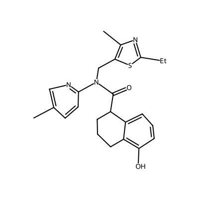 CCc1nc(C)c(CN(C(=O)C2CCCc3c(O)cccc32)c2ccc(C)cn2)s1